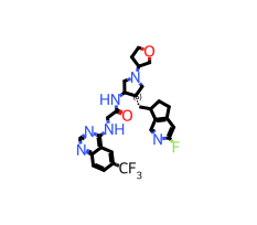 O=C(CNc1ncnc2ccc(C(F)(F)F)cc12)NC1CN(C2CCOC2)C[C@@H]1CC1CCc2cc(F)ncc21